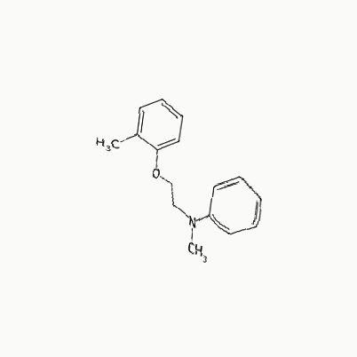 Cc1ccccc1OCCN(C)c1ccccc1